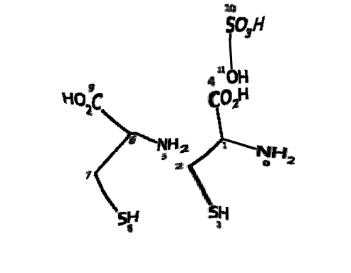 NC(CS)C(=O)O.NC(CS)C(=O)O.O=S(=O)(O)O